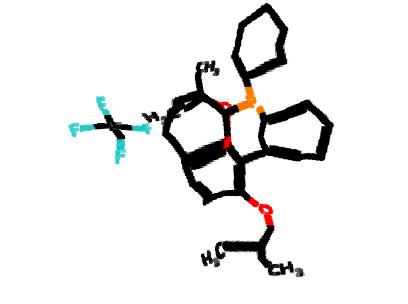 CC(C)Oc1cccc(OC(C)C)c1-c1ccccc1P(C1CCCCC1)C1CCCCC1.F[B-](F)(F)F